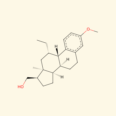 CC[C@H]1C[C@]2(C)[C@H](CO)CC[C@@H]2[C@@H]2CCc3cc(OC)ccc3[C@@H]12